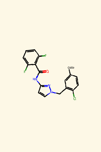 COc1ccc(Cl)c(Cn2ccc(NC(=O)c3c(F)cccc3F)n2)c1